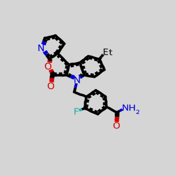 CCc1ccc2c(c1)c1c3cccnc3oc(=O)c1n2Cc1ccc(C(N)=O)cc1F